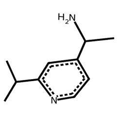 CC(C)c1cc(C(C)N)ccn1